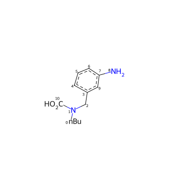 CCCCN(Cc1cccc(N)c1)C(=O)O